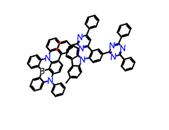 Cc1ccc2c(c1)c1ccccc1n2-c1ccc(-c2nc(-c3ccccc3)nc(-c3ccccc3)n2)cc1-c1cc(-c2ccccc2)nc(-c2cccc(-c3ccc4c5c3N(c3ccccc3)c3ccccc3B5c3ccccc3N4c3ccccc3)c2)n1